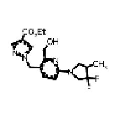 CCOC(=O)c1cnn(Cc2ccc(N3CC(C)C(F)(F)C3)nc2CO)c1